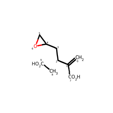 C=C(CCC1CO1)C(=O)O.CC(=O)O